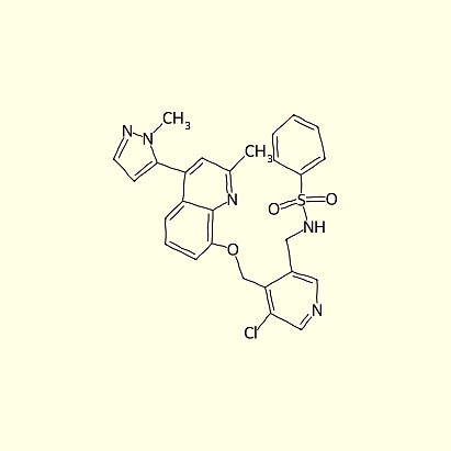 Cc1cc(-c2ccnn2C)c2cccc(OCc3c(Cl)cncc3CNS(=O)(=O)c3ccccc3)c2n1